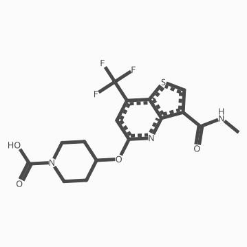 CNC(=O)c1csc2c(C(F)(F)F)cc(OC3CCN(C(=O)O)CC3)nc12